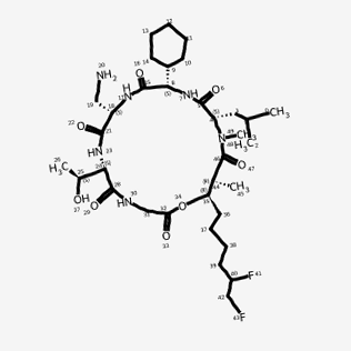 CC(C)C[C@H]1C(=O)N[C@@H](C2CCCCC2)C(=O)N[C@@H](CN)C(=O)N[C@@H]([C@H](C)O)C(=O)NCC(=O)O[C@H](CCCCC(F)CF)[C@@H](C)C(=O)N1C